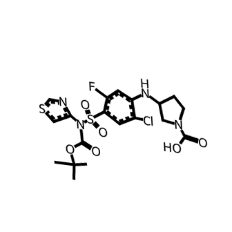 CC(C)(C)OC(=O)N(c1cscn1)S(=O)(=O)c1cc(Cl)c(NC2CCN(C(=O)O)C2)cc1F